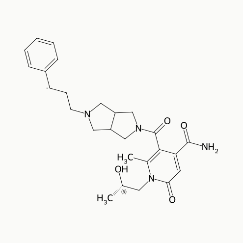 Cc1c(C(=O)N2CC3CN(CC[CH]c4ccccc4)CC3C2)c(C(N)=O)cc(=O)n1C[C@H](C)O